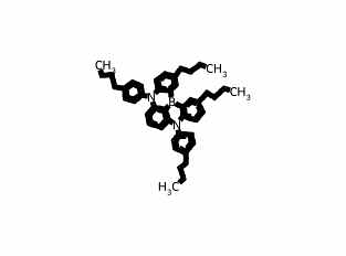 CCCCc1ccc(N2c3ccc(CCCC)cc3B3c4cc(CCCC)ccc4N(c4ccc(CCCC)cc4)c4cccc2c43)cc1